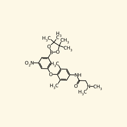 Cc1cc(NC(=O)CN(C)C)cc(C)c1Oc1cc(B2OC(C)(C)C(C)(C)O2)cc([N+](=O)[O-])c1